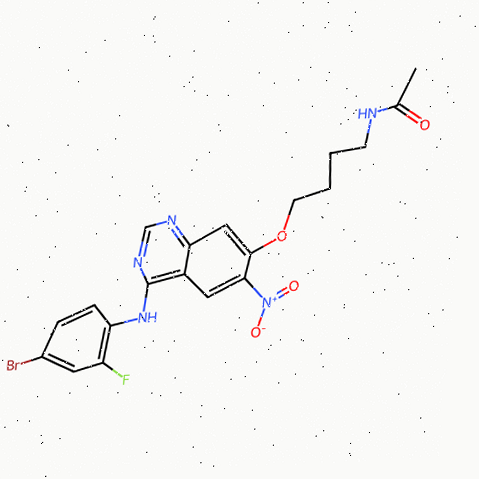 CC(=O)NCCCCOc1cc2ncnc(Nc3ccc(Br)cc3F)c2cc1[N+](=O)[O-]